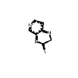 S=C1CN=c2ccncc2=N1